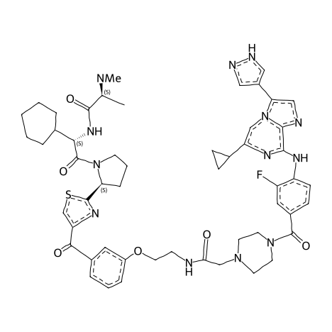 CN[C@@H](C)C(=O)N[C@H](C(=O)N1CCC[C@H]1c1nc(C(=O)c2cccc(OCCNC(=O)CN3CCN(C(=O)c4ccc(Nc5nc(C6CC6)cn6c(-c7cn[nH]c7)cnc56)c(F)c4)CC3)c2)cs1)C1CCCCC1